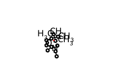 Cc1cc2c(cc1C)C(c1ccccc1)(c1ccc(-c3cccc4c3oc3c(-c5ccc(N(c6ccccc6)c6ccc(-c7ccccc7)cc6)cc5-c5ccccc5)cccc34)cc1)c1cc(C)c(C)cc1-2